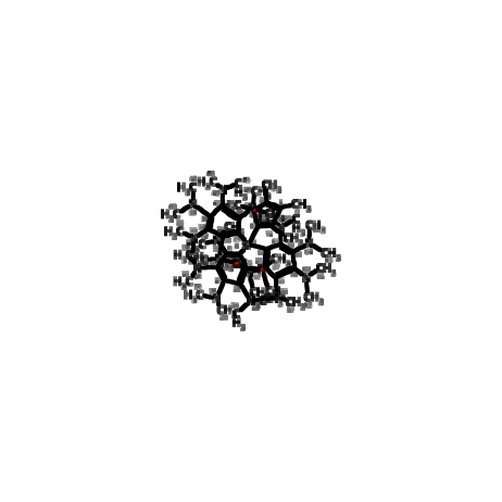 CC1=C(C)C(C)C([Si](c2c(N(C)C)c(N(C)C)c(N(C)C)c(N(C)C)c2N(C)C)(c2c(N(C)C)c(N(C)C)c(N(C)C)c(N(C)C)c2N(C)C)c2c(N(C)C)c(N(C)C)c(N(C)C)c(N(C)C)c2N(C)C)=C1C